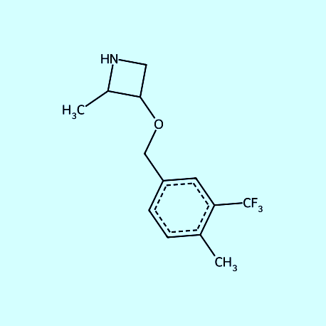 Cc1ccc(COC2CNC2C)cc1C(F)(F)F